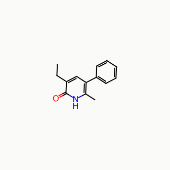 CCc1cc(-c2ccccc2)c(C)[nH]c1=O